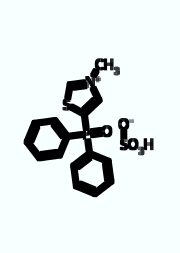 C[n+]1csc(P(=O)(c2ccccc2)c2ccccc2)c1.O=S(=O)([O-])O